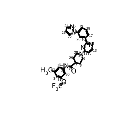 Cc1cc(NC(=O)C2CCN(c3ccnc(-c4cccc(-n5cccn5)c4)n3)CC2)cc(OC(F)(F)F)c1